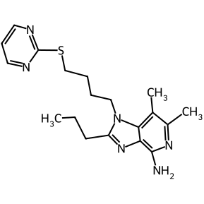 CCCc1nc2c(N)nc(C)c(C)c2n1CCCCSc1ncccn1